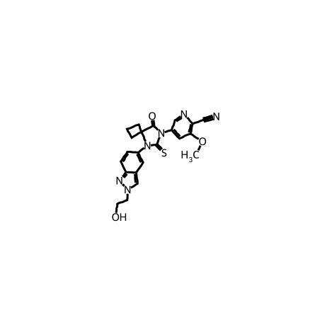 COc1cc(N2C(=O)C3(CCC3)N(c3ccc4nn(CCO)cc4c3)C2=S)cnc1C#N